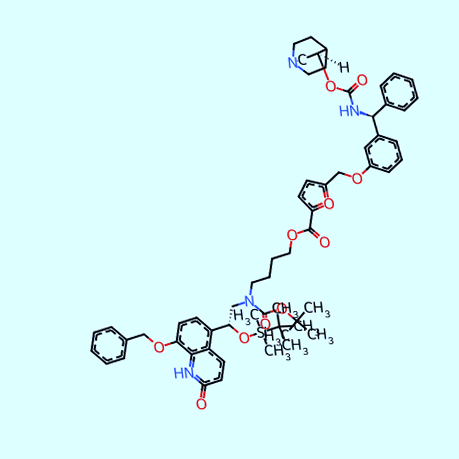 CC(C)(C)OC(=O)N(CCCCOC(=O)c1ccc(COc2cccc([C@@H](NC(=O)O[C@H]3CN4CCC3CC4)c3ccccc3)c2)o1)C[C@H](O[Si](C)(C)C(C)(C)C)c1ccc(OCc2ccccc2)c2[nH]c(=O)ccc12